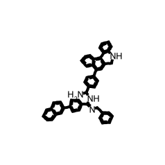 NC(N/C(=N\Cc1ccccc1)c1ccc(-c2ccc3ccccc3c2)cc1)c1ccc(-c2cc3c(c4ccccc24)-c2ccccc2NC3)cc1